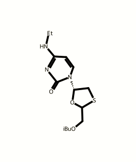 CCNc1ccn([C@@H]2CSC(COCC(C)C)O2)c(=O)n1